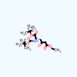 CCOC(=O)CC(=O)C[C@H](NC(=O)OC(C)(C)C)C(=O)OC(C)(C)C